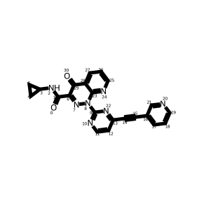 O=C(NC1CC1)c1nn(-c2nccc(C#Cc3cccnc3)n2)c2ncccc2c1=O